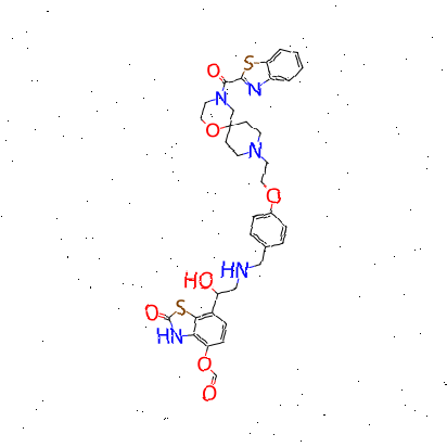 O=COc1ccc(C(O)CNCc2ccc(OCCN3CCC4(CC3)CN(C(=O)c3nc5ccccc5s3)CCO4)cc2)c2sc(=O)[nH]c12